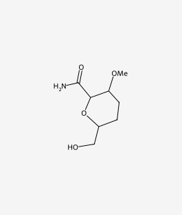 COC1CCC(CO)OC1C(N)=O